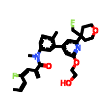 C=C(/C=C(F)\C=C/C)C(=O)N(C)c1ccc(C)c(-c2cc(OCCO)nc(C3(CF)CCOCC3)c2)c1